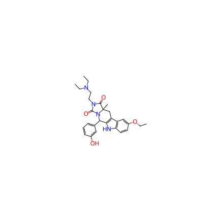 CCOc1ccc2[nH]c3c(c2c1)CC1(C)C(=O)N(CCN(CC)CC)C(=O)N1C3c1cccc(O)c1